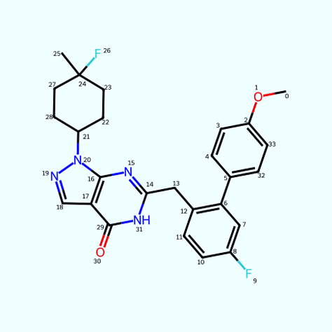 COc1ccc(-c2cc(F)ccc2Cc2nc3c(cnn3C3CCC(C)(F)CC3)c(=O)[nH]2)cc1